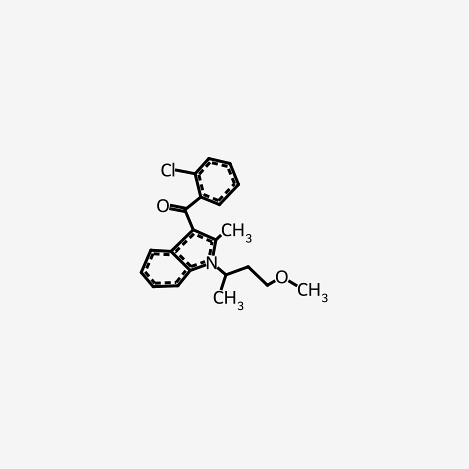 COCCC(C)n1c(C)c(C(=O)c2ccccc2Cl)c2ccccc21